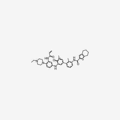 C=CC(=O)Nc1cc(Nc2cc(-c3cccc(NC(=O)c4cc5c(s4)CCCC5)c3C)cn(C)c2=O)ccc1N1CCN(CC)CC1